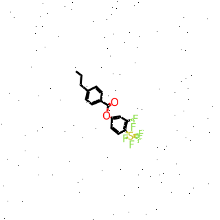 CCCc1ccc(C(=O)Oc2ccc(S(F)(F)(F)(F)F)c(F)c2)cc1